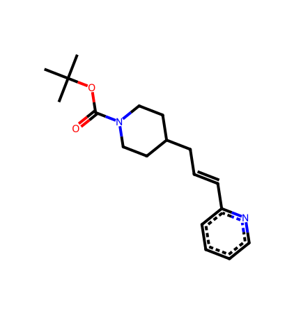 CC(C)(C)OC(=O)N1CCC(C/C=C/c2ccccn2)CC1